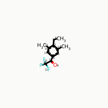 CCc1c(C)cc(C(=O)C(F)(F)F)cc1C